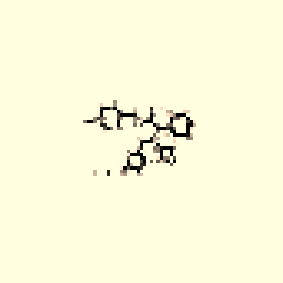 CN1CCC(COC(=O)C(c2ccccc2)N(Cc2ccc(C(=O)O)s2)C2COC2)CC1